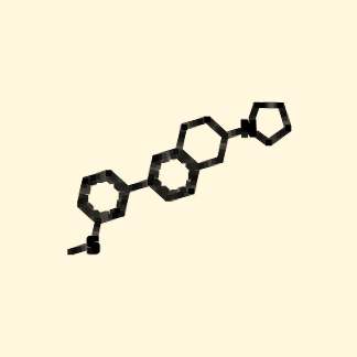 CSc1cccc(-c2ccc3c(c2)CCC(N2CCCC2)C3)c1